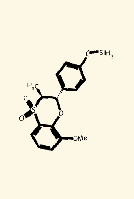 COc1cccc2c1O[C@@H](c1ccc(O[SiH3])cc1)[C@H](C)S2(=O)=O